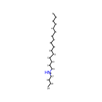 CCCCCCCCCCCCCCCCNCCCC